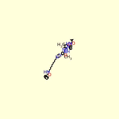 COc1cc(N2CCN(CCCCCCCCCCCCNC(=O)CC34CC5CC(CC(C5)C3)C4)CC2)ccc1Nc1ncc2c(C)cc(=O)n(C34CC5CC(CC(NC(=O)C6CC6)(C5)C3)C4)c2n1